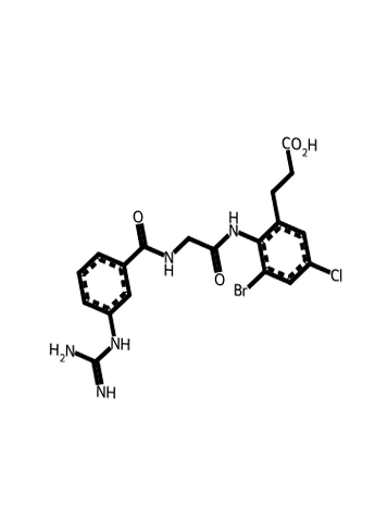 N=C(N)Nc1cccc(C(=O)NCC(=O)Nc2c(Br)cc(Cl)cc2CCC(=O)O)c1